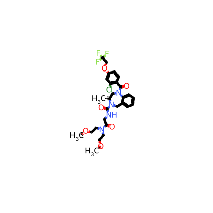 COCCN(CCOC)C(=O)CNC(=O)N1Cc2ccccc2N(C(=O)c2ccc(OCC(F)(F)F)cc2Cl)C[C@H]1C